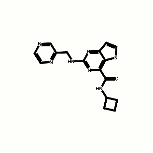 O=C(NC1CCC1)c1nc(NCc2cnccn2)nc2ccsc12